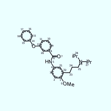 COc1ccc(NC(=O)c2cccc(Oc3ccccc3)c2)cc1CCCN(C(C)C)C(C)C